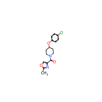 Cc1nc(C(=O)N2CCC(Oc3ccc(Cl)cc3)CC2)co1